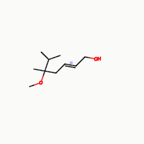 COC(C)(C/C=C/CO)C(C)C